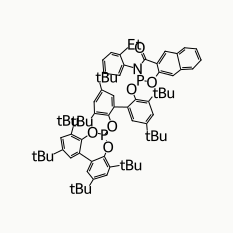 CCc1ccccc1N1C(=O)c2cc3ccccc3cc2OP1Oc1c(-c2cc(C(C)(C)C)cc(C(C)(C)C)c2Op2oc3c(C(C)(C)C)cc(C(C)(C)C)cc3c3cc(C(C)(C)C)cc(C(C)(C)C)c3o2)cc(C(C)(C)C)cc1C(C)(C)C